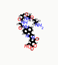 CC[C@@]1(O)C(=O)OCc2c1cc1n(c2=O)Cc2c-1nc1ccc(NC(=O)C(C)NC(=O)[C@@H](NC(=O)C(C)(C)OCCC(C)(C)N)C(C)C)c3c1c2CCC3